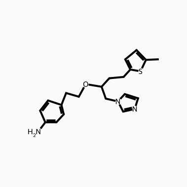 Cc1ccc(CCC(Cn2ccnc2)OCCc2ccc(N)cc2)s1